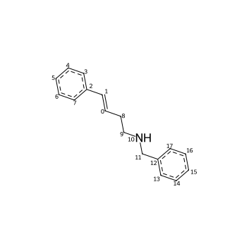 C(=Cc1ccccc1)CCNCc1ccccc1